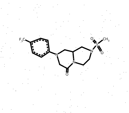 CS(=O)(=O)N1CCN2C(=O)CN(c3ccc(C(F)(F)F)cc3)CC2C1